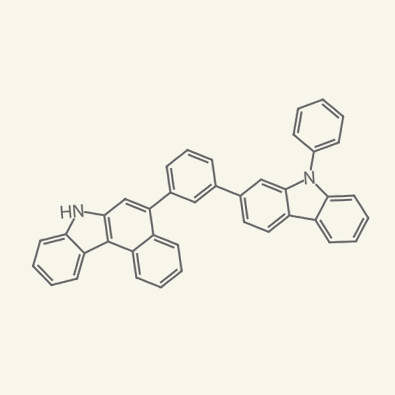 c1ccc(-n2c3ccccc3c3ccc(-c4cccc(-c5cc6[nH]c7ccccc7c6c6ccccc56)c4)cc32)cc1